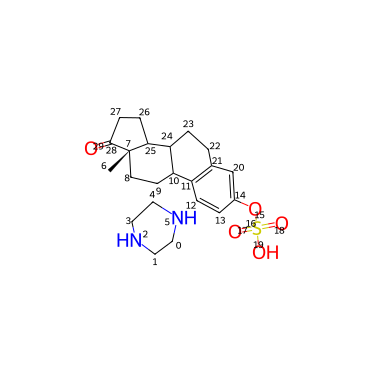 C1CNCCN1.C[C@]12CCC3c4ccc(OS(=O)(=O)O)cc4CCC3C1CCC2=O